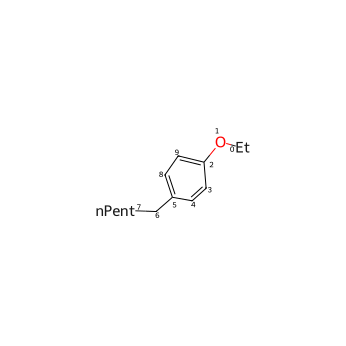 [CH2]COc1ccc(CCCCCC)cc1